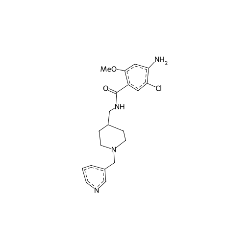 COc1cc(N)c(Cl)cc1C(=O)NCC1CCN(Cc2cccnc2)CC1